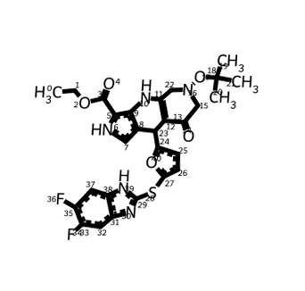 CCOC(=O)c1[nH]cc2c1NC1=C(C(=O)CN(OC(C)(C)C)C1)C2c1ccc(Sc2nc3cc(F)c(F)cc3[nH]2)o1